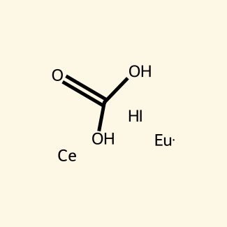 I.O=C(O)O.[Ce].[Eu]